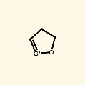 C1=[O+]OCC1